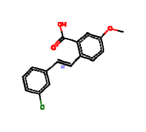 COc1ccc(/C=C/c2cccc(Cl)c2)c(C(=O)O)c1